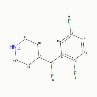 Fc1ccc(F)c(C(F)C2CCNCC2)c1